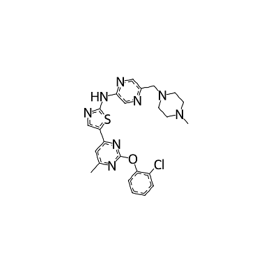 Cc1cc(-c2cnc(Nc3cnc(CN4CCN(C)CC4)cn3)s2)nc(Oc2ccccc2Cl)n1